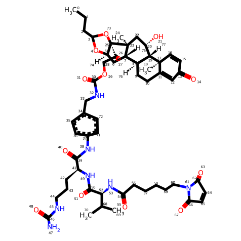 CCCC1O[C@@H]2C[C@H]3[C@@H]4CCC5=CC(=O)C=C[C@]5(C)[C@H]4[C@@H](O)C[C@]3(C)[C@]2(C(=O)COC(=O)NCc2ccc(NC(=O)[C@H](CCCNC(N)=O)NC(=O)[C@@H](NC(=O)CCCCCN3C(=O)C=CC3=O)C(C)C)cc2)O1